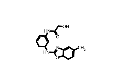 CC1=CCC2OC(NC3C=C(NC(=O)CO)C=CC3)=NC2=C1